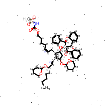 CCCCC[C@@H](/C=C/[C@@H]1[C@@H](C/C=C\CCCCOC(=O)NS(C)(=O)=O)[C@@H](O[Si](C(=O)c2ccccc2)(C(=O)c2ccccc2)C(=O)c2ccccc2)C[C@H]1OC1CCCCO1)OC1CCCCO1